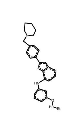 CCPOc1cccc(Nc2ccnc3cc(-c4ccc(CN5CCCCC5)cc4)sc23)c1